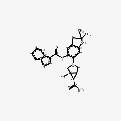 CC1(C)Cc2cc(NC(=O)c3cnn4cccnc34)c(N3CC4[C@@H](C3)[C@@H]4C(N)=O)cc2O1